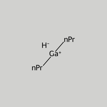 CC[CH2][Ga+][CH2]CC.[H-]